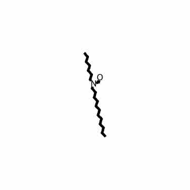 CCCCCCCCCCCCN(C=O)CCCCCCC